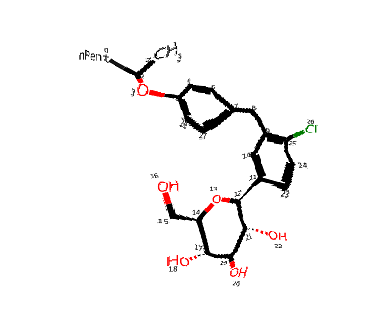 CCCCCC(C)Oc1ccc(Cc2cc([C@@H]3O[C@H](CO)[C@@H](O)C(O)[C@H]3O)ccc2Cl)cc1